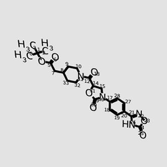 CC(C)(C)OC(=O)CC1CCN(C(=O)C2CN(c3ccc(-c4noc(=O)[nH]4)cc3)C(=O)O2)CC1